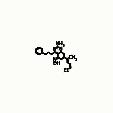 CC/C=C\C=C(/C)C1C/C(=N\O)c2c(CCCc3ccccc3)nc(N)nc2C1